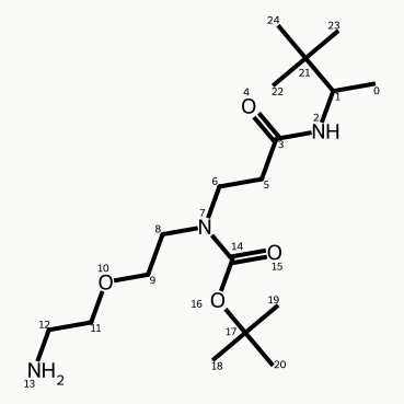 CC(NC(=O)CCN(CCOCCN)C(=O)OC(C)(C)C)C(C)(C)C